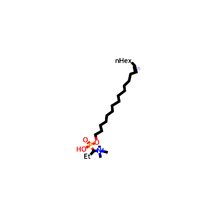 CCCCCC/C=C\CCCCCCCCCCCCCOP(=O)(O)C(CC)[N+](C)(C)C